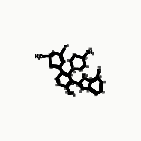 Cc1cc(F)cc(-c2cnc(N)c(-c3nc4cccc(Cl)c4[nH]3)c2N2CCC(N)CC2)c1